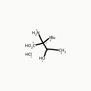 CC(O)C(N)(C(=O)O)C(C)(C)C.Cl